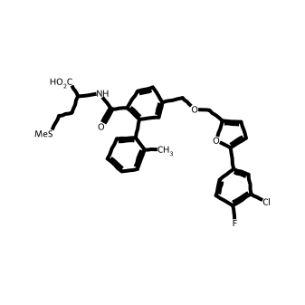 CSCCC(NC(=O)c1ccc(COCc2ccc(-c3ccc(F)c(Cl)c3)o2)cc1-c1ccccc1C)C(=O)O